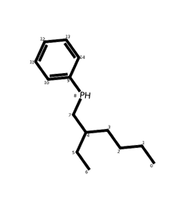 CCCCC(CC)CPc1ccccc1